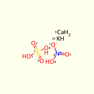 O=S(=O)(O)O.O=[N+]([O-])O.[CaH2].[KH]